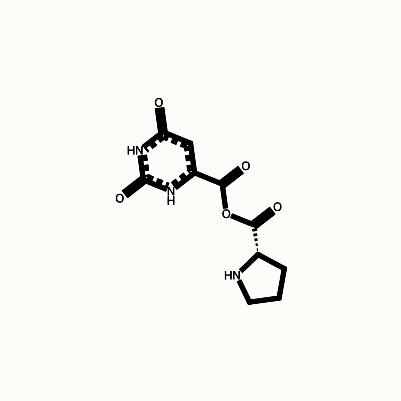 O=C(OC(=O)[C@@H]1CCCN1)c1cc(=O)[nH]c(=O)[nH]1